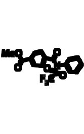 COC(=O)c1ccc(C(=O)N(c2ccccc2)S(=O)(=O)C(F)(F)F)cc1